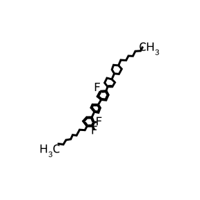 CCCCCCCCCc1ccc(-c2ccc(-c3ccc(C4=CCC(C5CCC(CCCCCCC)CC5)CC4)c(F)c3)cc2)c(F)c1F